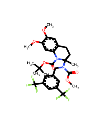 COC(=O)N(Cc1cc(C(F)(F)F)cc(C(F)(F)F)c1)C1(C)CCc2cc(OC)c(OC)cc2N1C(=O)OC(C)(C)C